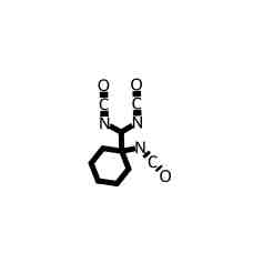 O=C=NC(N=C=O)C1(N=C=O)CCCCC1